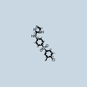 Cc1cc(S(=O)(=O)c2ccc(Nc3nnc[nH]3)cc2)ccc1Cl